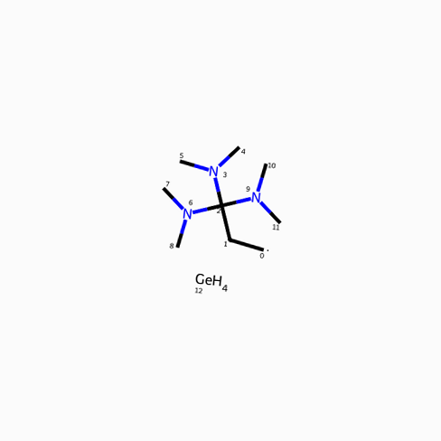 [CH2]CC(N(C)C)(N(C)C)N(C)C.[GeH4]